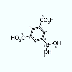 O=C(O)c1cc(B(O)O)cc(C(=O)O)c1